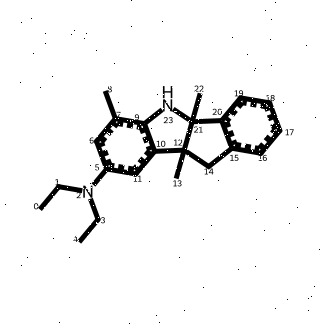 CCN(CC)c1cc(C)c2c(c1)C1(C)Cc3ccccc3C1(C)N2